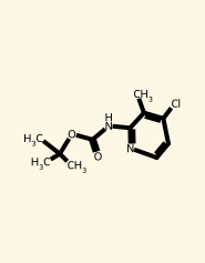 Cc1c(Cl)ccnc1NC(=O)OC(C)(C)C